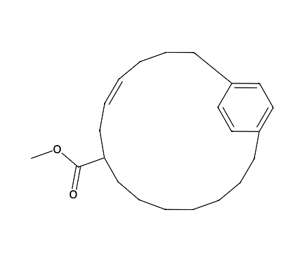 COC(=O)C1CC=CCCCc2ccc(cc2)CCCCCCC1